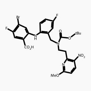 COc1ccc([N+](=O)[O-])c(CCN(Cc2cc(F)ccc2Nc2cc(Br)c(F)cc2C(=O)O)C(=O)OC(C)(C)C)n1